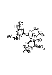 CCNc1nc(Cl)nc(NC(C)C)n1.CS(=O)(=O)c1ccc(C(=O)C2C(=O)CCCC2=O)c([N+](=O)[O-])c1